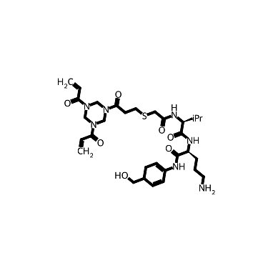 C=CC(=O)N1CN(C(=O)C=C)CN(C(=O)CCSCC(=O)N[C@H](C(=O)N[C@@H](CCCN)C(=O)NC2=CCC(CO)C=C2)C(C)C)C1